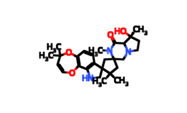 CN1C(=O)C2N(CC[C@@]2(C)O)CC12CC(C)(C)C1(CNc3c1ccc1c3OC=CC(C)(C)O1)C2